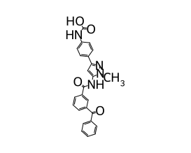 Cn1nc(-c2ccc(NC(=O)O)cc2)cc1NC(=O)c1cccc(C(=O)c2ccccc2)c1